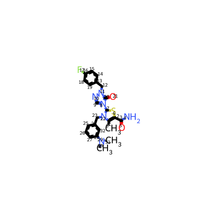 CC1=C(C(N)=O)SC(n2cnn(Cc3ccc(F)cc3)c2=O)N1Cc1cccc(N(C)C)c1